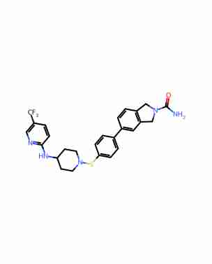 NC(=O)N1Cc2ccc(-c3ccc(SN4CCC(Nc5ccc(C(F)(F)F)cn5)CC4)cc3)cc2C1